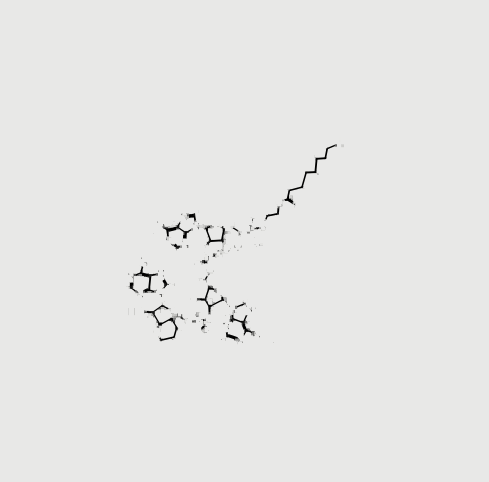 CCCCCCCCCCCCCCCCCC(=O)OCCSP(=O)(O)OC[C@H]1O[C@@H](n2cnc3c(N)ncnc32)C(OP(=O)(O)OC[C@H]2O[C@@H](n3cnc4c(N)ncnc43)C(OP(=O)(O)OC[C@]34CCCOC3C(O)[C@H](n3cnc5c(N)ncnc53)O4)C2O)C1OC